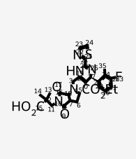 CCOC(=O)C1=C(CN2CCC3C(=O)N(CC(C)(C)C(=O)O)C(=O)C32)NC(c2nccs2)=N[C@H]1c1cccc(F)c1C